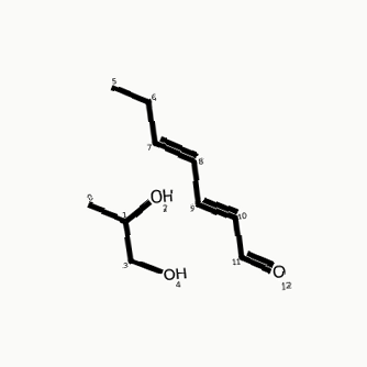 CC(O)CO.CCC=CC=CC=O